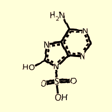 Nc1ncnc2c1nc(O)n2S(=O)(=O)O